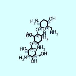 NC[C@H]1O[C@H](O[C@H]2[C@H](O)[C@@H](O[C@H]3O[C@H](CO)[C@@H](O)[C@H](N)[C@H]3O)[C@H](N)C[C@@H]2N)[C@H](N)C[C@@H]1O.[Ag]